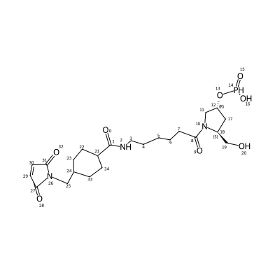 O=C(NCCCCCC(=O)N1C[C@H](O[PH](=O)O)C[C@H]1CO)C1CCC(CN2C(=O)C=CC2=O)CC1